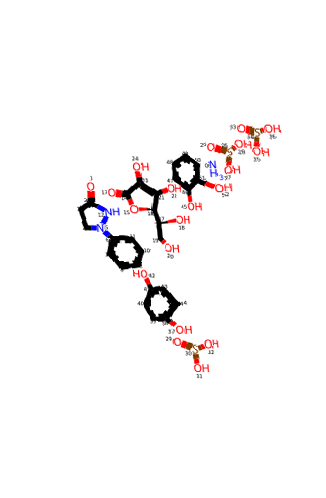 N.O=C1CCN(c2ccccc2)N1.O=C1O[C@H]([C@@H](O)CO)C(O)=C1O.O=S(O)O.O=S(O)O.O=S(O)O.Oc1ccc(O)cc1.Oc1ccccc1O